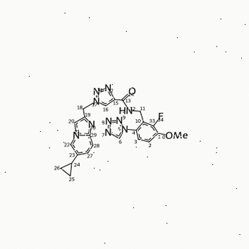 COc1ccc(-n2cnnn2)c(CNC(=O)c2cn(Cc3cn4cc(C5CC5)ccc4n3)nn2)c1F